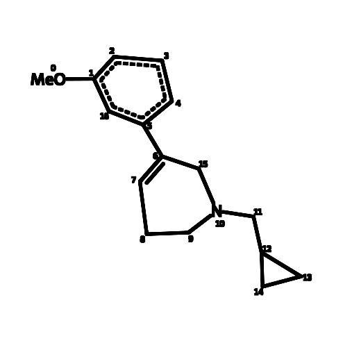 COc1cccc(C2=CCCN(CC3CC3)C2)c1